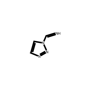 N=Cn1c[c]nn1